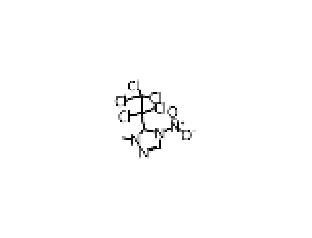 CN1N=CN([N+](=O)[O-])C1C(Cl)(Cl)C(Cl)(Cl)Cl